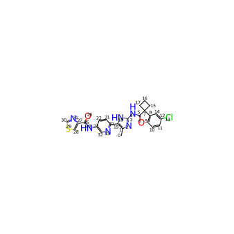 Cc1nc(NC(=O)C2(c3cccc(Cl)c3)CCC2)[nH]c1-c1ccc(NC(=O)c2cscn2)cn1